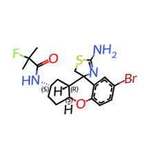 CC(C)(F)C(=O)N[C@H]1CC[C@@H]2Oc3ccc(Br)cc3C3(CSC(N)=N3)[C@H]2C1